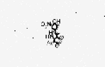 CC(=O)C1=C(O)C(=C(C)Nc2ccc(O)c([N+](=O)[O-])c2)C(=O)OC1=O